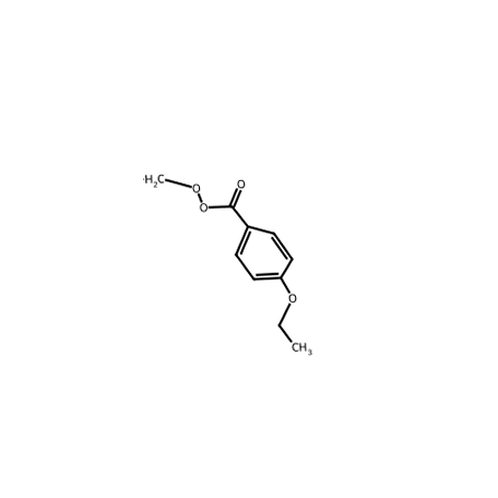 [CH2]OOC(=O)c1ccc(OCC)cc1